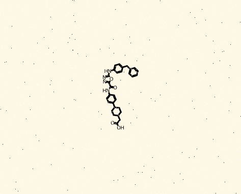 O=C(O)CC1CCC(c2ccc(NC(=O)c3nnc(Nc4ccc(Cc5ccccc5)cc4)o3)cc2)CC1